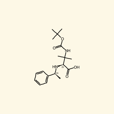 C[C@H](N[C@H](C(=O)O)C(C)(C)NC(=O)OC(C)(C)C)c1ccccc1